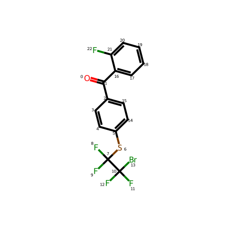 O=C(c1ccc(SC(F)(F)C(F)(F)Br)cc1)c1ccccc1F